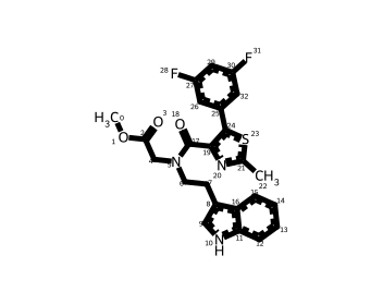 COC(=O)CN(CCc1c[nH]c2ccccc12)C(=O)c1nc(C)sc1-c1cc(F)cc(F)c1